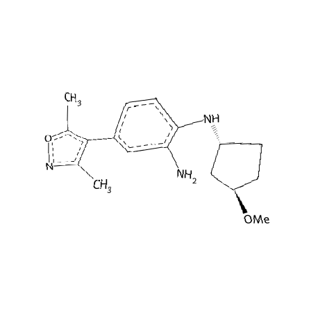 CO[C@@H]1CC[C@@H](Nc2ccc(-c3c(C)noc3C)cc2N)C1